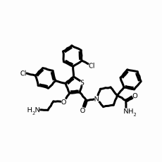 NCCOc1c(C(=O)N2CCC(C(N)=O)(c3ccccc3)CC2)sc(-c2ccccc2Cl)c1-c1ccc(Cl)cc1